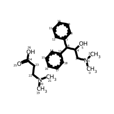 CN(C)CC(O)C(c1ccccc1)c1ccccc1.CN(C)CCC(=O)O